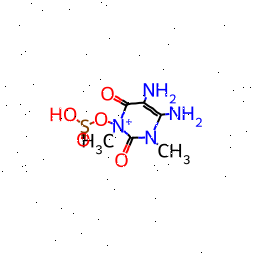 CN1C(=O)[N+](C)(OS(=O)O)C(=O)C(N)=C1N